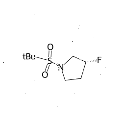 CC(C)(C)S(=O)(=O)N1CC[C@@H](F)C1